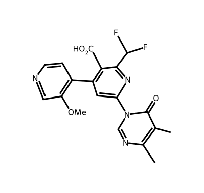 COc1cnccc1-c1cc(-n2cnc(C)c(C)c2=O)nc(C(F)F)c1C(=O)O